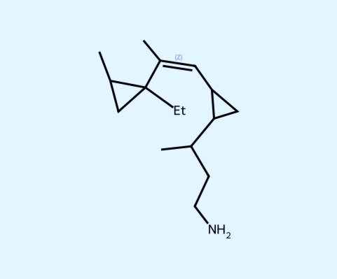 CCC1(/C(C)=C\C2CC2C(C)CCN)CC1C